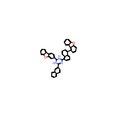 c1ccc2cc(C3=NC(c4cccc5c(-c6cccc7oc8ccccc8c67)cccc45)NC(c4ccc5c(c4)oc4ccccc45)N3)ccc2c1